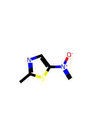 C=[N+]([O-])c1cnc(C)s1